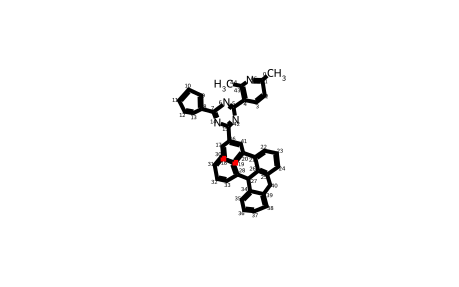 Cc1ccc(-c2nc(-c3ccccc3)nc(-c3cccc(-c4cccc5c4C(c4ccccc4)c4ccccc4C5)c3)n2)c(C)n1